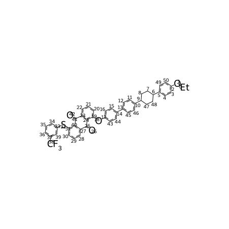 CCOc1ccc(C2CCC(c3ccc(-c4ccc(Oc5cccc6c5C(=O)c5cccc(Sc7cccc(C(F)(F)F)c7)c5C6=O)cc4)cc3)CC2)cc1